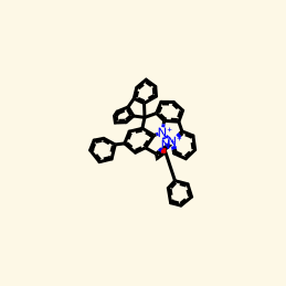 c1ccc(-c2cc3c4c(c2)C2(c5ccccc5-c5ccccc52)c2cccc5c2[N+]4([n+]2ccccc2-5)[n+]2ccc(-c4ccccc4)cc2-3)cc1